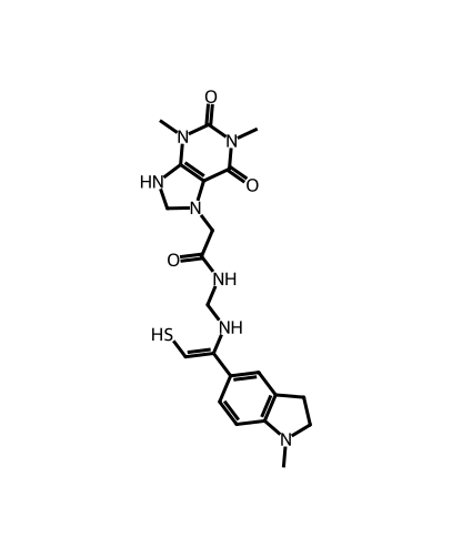 CN1CCc2cc(/C(=C/S)NCNC(=O)CN3CNc4c3c(=O)n(C)c(=O)n4C)ccc21